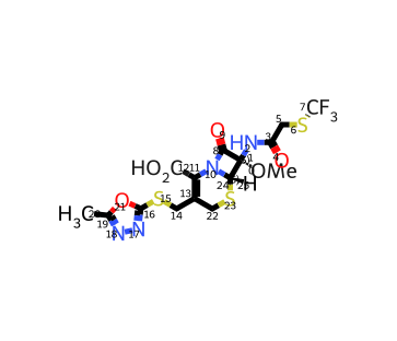 CO[C@@]1(NC(=O)CSC(F)(F)F)C(=O)N2C(C(=O)O)=C(CSc3nnc(C)o3)CS[C@H]21